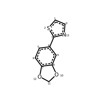 c1csc(-c2ccc3c(c2)OCO3)n1